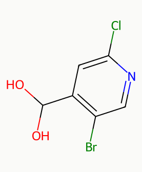 OC(O)c1cc(Cl)ncc1Br